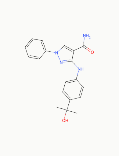 CC(C)(O)c1ccc(Nc2nn(-c3ccccc3)cc2C(N)=O)cc1